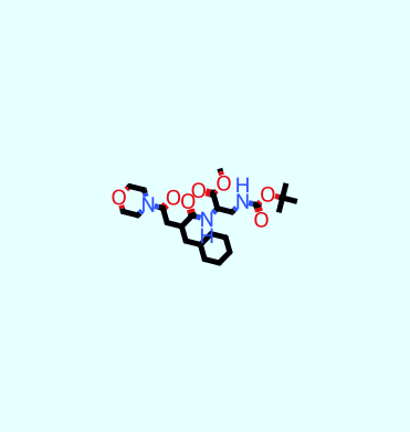 COC(=O)C(CNC(=O)OC(C)(C)C)NC(=O)C(CC(=O)N1CCOCC1)CC1CCCCC1